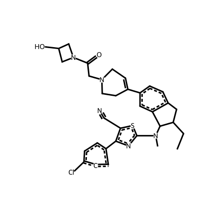 CCC1Cc2ccc(C3=CCN(CC(=O)N4CC(O)C4)CC3)cc2C1N(C)c1nc(-c2ccc(Cl)cc2)c(C#N)s1